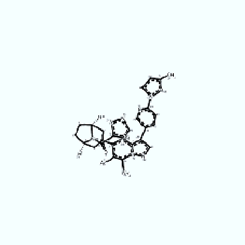 CC(=O)c1c([C@H]2C[C@H]3CC[C@@H](C2)N3C(=O)c2nnc[nH]2)nc2c(-c3ccc(-n4ccc(C)n4)nc3)cnn2c1N